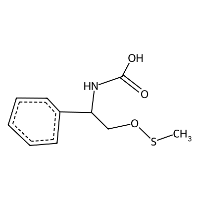 CSOCC(NC(=O)O)c1ccccc1